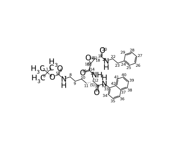 CC(C)(C)OC(=O)NCCCC[C@H](NC(=O)[C@H]1O[C@@H]1C(=O)NCCc1ccccc1)C(=O)Nc1cccc2ccccc12